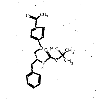 CC(=O)c1ccc(OC[C@H](Cc2ccccc2)NC(=O)OC(C)(C)C)cc1